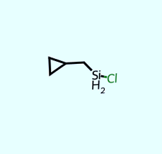 Cl[SiH2]CC1CC1